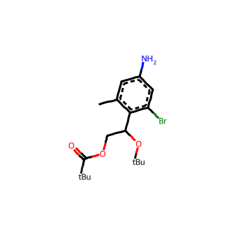 Cc1cc(N)cc(Br)c1C(COC(=O)C(C)(C)C)OC(C)(C)C